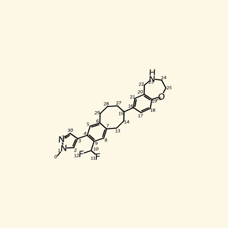 Cn1cc(-c2cc3c(cc2C(F)F)CCC(c2ccc4c(c2)CNCCO4)CCC3)cn1